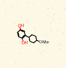 COC1CCC(c2cc(O)ccc2O)CC1